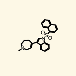 CN1CC=C(c2cn(S(=O)(=O)c3cccc4ccccc34)c3ccccc23)CCC1